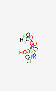 Cc1c(F)cccc1OCCOC(=O)N1CCSc2c(-c3cnn(Cc4cc(C(=O)O)ccc4Cl)c3)cccc21